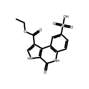 CCOC(=O)c1c[nH]c2c(=O)[nH]c3ccc(S(=O)(=O)O)cc3c12